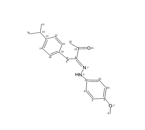 COc1ccc(NN=C(Sc2ccc(C(C)C)cc2)C(C)=O)cc1